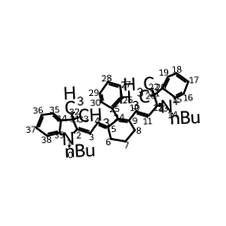 CCCCN1/C(=C/C=C2\CCCC(/C=C/C3=[N+](CCCC)c4ccccc4C3(C)C)=C2c2ccccc2)C(C)(C)c2ccccc21